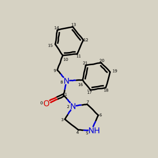 O=C(N1CCNCC1)N(Cc1ccccc1)c1[c]cccc1